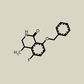 CC1CNC(=O)c2c(OCc3ccccc3)ccc(F)c21